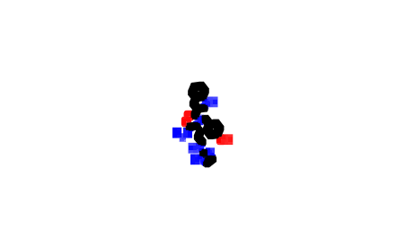 NC(=O)[C@H](CCCNc1ncc[nH]1)N(Cc1ccc(O)cc1)C(=O)C1CNc2ccccc2C1